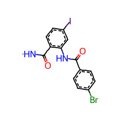 [NH]C(=O)c1ccc(I)cc1NC(=O)c1ccc(Br)cc1